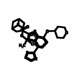 CC(C)(C)OC(=O)N1C2CC1CN(c1nc3c(OC4CCOCC4)ccc(-c4nccs4)c3o1)C2